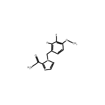 COc1ccc(Cn2ccnc2C(N)=O)c(F)c1F